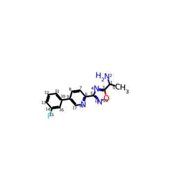 CC(N)c1nc(-c2ccc(-c3cccc(F)c3)cn2)no1